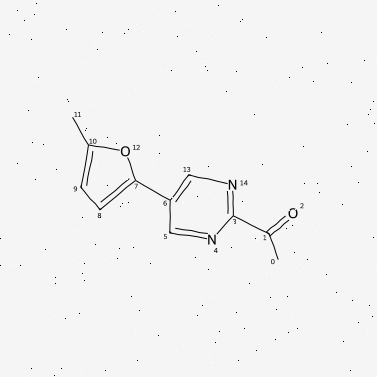 CC(=O)c1ncc(-c2ccc(C)o2)cn1